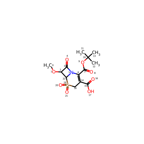 COC1C(=O)N2C(C(=O)OC(C)(C)C)=C(C(=O)O)CS(=O)(=O)C12